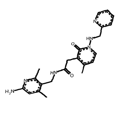 Cc1cc(N)nc(C)c1CNC(=O)Cc1c(C)ccn(NCc2ccccn2)c1=O